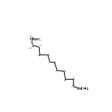 CCCCCCSCCCCCCCCCSCCCCC